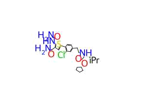 CC(C)C[C@@H](NCCc1ccc(-c2cc(C(N)=O)c(NC(N)=O)s2)c(Cl)c1)C(=O)OC1CCCC1